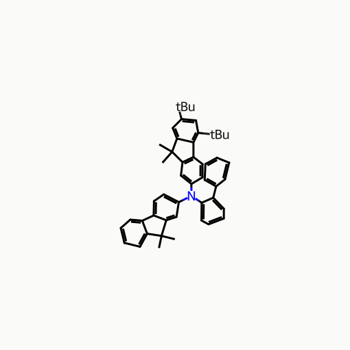 CC(C)(C)c1cc(C(C)(C)C)c2c(c1)C(C)(C)c1cc(N(c3ccc4c(c3)C(C)(C)c3ccccc3-4)c3ccccc3-c3ccccc3)ccc1-2